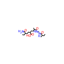 CCC(C)C(=O)NCNC(=O)C(C)CCC(CCC(CC)C(N)=O)C(=O)O